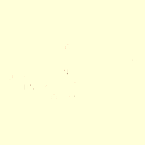 O=Cc1cc(F)c2c(c1)C(=O)N(C1CCC(=O)NC1=O)C2=O